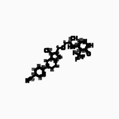 C[C@@H](COCc1nn2c(c1Cl)CN(c1ccc(C#N)cn1)CC2)Nc1cn[nH]c(=O)c1C(F)(F)F